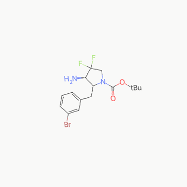 CC(C)(C)OC(=O)N1CC(F)(F)[C@H](N)C1Cc1cccc(Br)c1